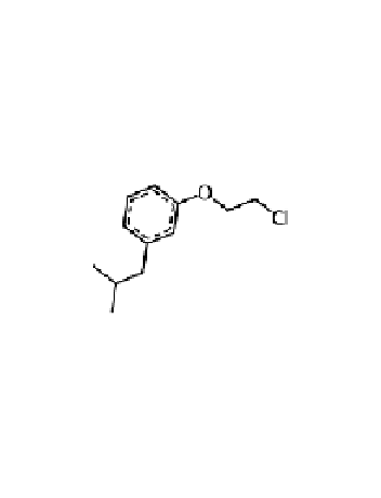 CC(C)Cc1cccc(OCCCl)c1